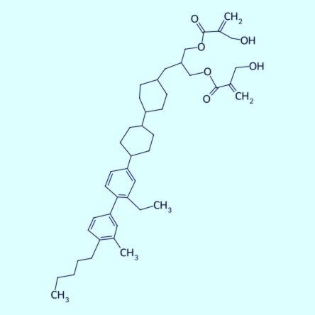 C=C(CO)C(=O)OCC(COC(=O)C(=C)CO)CC1CCC(C2CCC(c3ccc(-c4ccc(CCCCC)c(C)c4)c(CC)c3)CC2)CC1